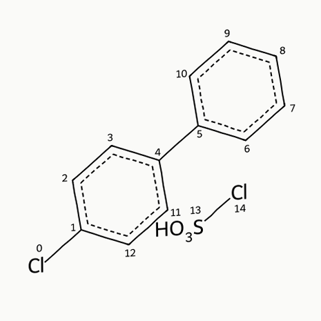 Clc1ccc(-c2ccccc2)cc1.O=S(=O)(O)Cl